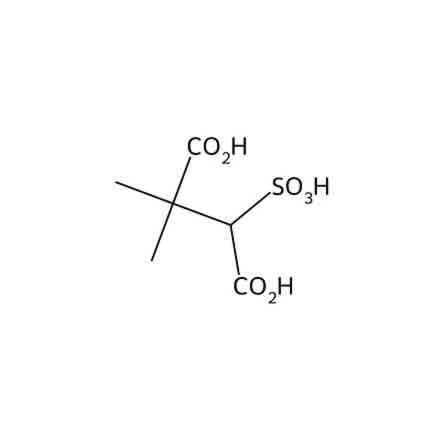 CC(C)(C(=O)O)C(C(=O)O)S(=O)(=O)O